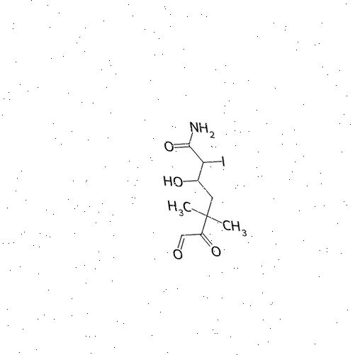 CC(C)(CC(O)C(I)C(N)=O)C(=O)C=O